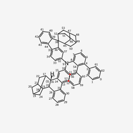 c1ccc(-c2cccc(N(c3ccc4c(c3)[C@H]3C5CC6CC(C5)C(C6)C3c3ccccc3-4)c3ccc4c(c3)C3(c5ccccc5-4)C4CC5CC(C4)CC3C5)c2-c2ccccc2)cc1